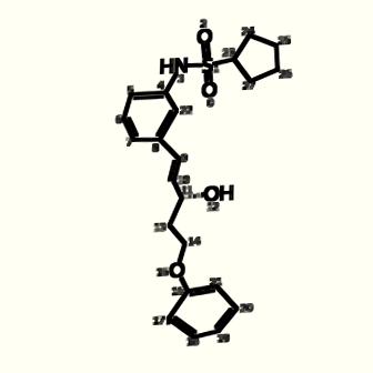 O=S(=O)(Nc1cccc(/C=C/[C@H](O)CCOc2[c]cccc2)c1)C1CCCC1